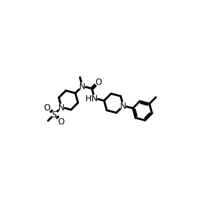 Cc1cccc(N2CCC(NC(=O)N(C)C3CCN(S(C)(=O)=O)CC3)CC2)c1